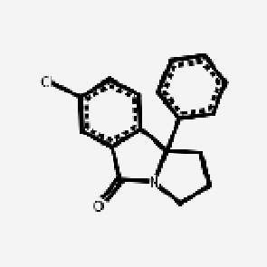 O=C1c2cc(Cl)ccc2C2(c3ccccc3)CCCN12